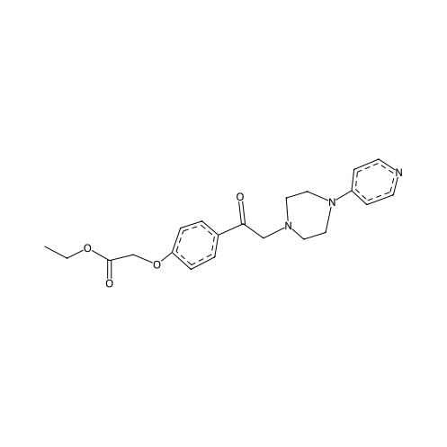 CCOC(=O)COc1ccc(C(=O)CN2CCN(c3ccncc3)CC2)cc1